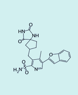 Cc1c(-c2cc3ccccc3o2)cnc(S(N)(=O)=O)c1CC1CCC2(C1)NC(=O)NC2=O